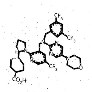 O=C(O)[C@H]1CC[C@H]([C@H]2CCCN2c2ncc(C(F)(F)F)cc2CN(Cc2cc(C(F)(F)F)cc(C(F)(F)F)c2)c2ncc(N3CCOCC3)cn2)CC1